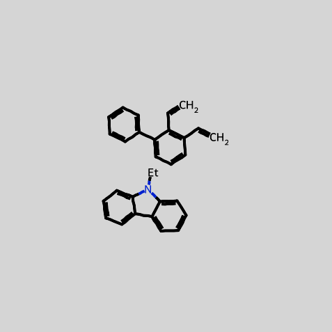 C=Cc1cccc(-c2ccccc2)c1C=C.CCn1c2ccccc2c2ccccc21